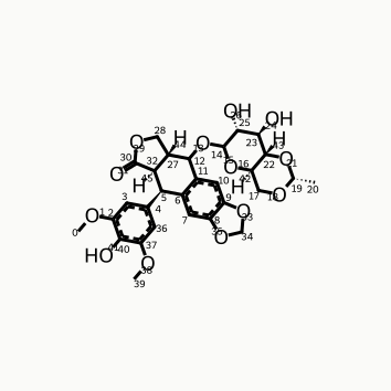 COc1cc([C@@H]2c3cc4c(cc3C(OC3O[C@@H]5CO[C@@H](C)O[C@H]5[C@H](O)[C@H]3O)[C@H]3COC(=O)[C@H]23)OCO4)cc(OC)c1O